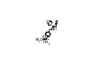 CC(C)(C)CC1CCC(CN/C(=N/C#N)N2CCOCC2)CC1